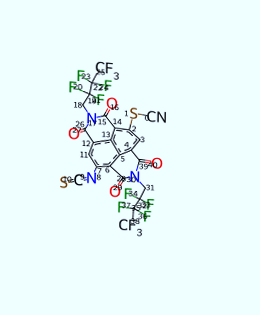 N#CSc1cc2c3c(c(N=C=S)cc4c3c1C(=O)N(CC(F)(F)C(F)(F)C(F)(F)F)C4=O)C(=O)N(CC(F)(F)C(F)(F)C(F)(F)F)C2=O